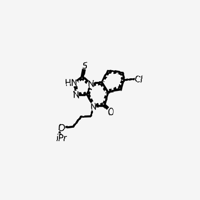 CC(C)OCCCn1c(=O)c2cc(Cl)ccc2n2c(=S)[nH]nc12